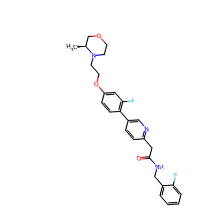 C[C@H]1COCCN1CCOc1ccc(-c2ccc(CC(=O)NCc3ccccc3F)nc2)c(F)c1